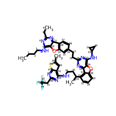 CCCCNc1nc(CC)nc2c1oc1cc(CCc3nc(NC4CC4)c4oc5cccc(C(C)CCNc6nc(CC(F)(F)F)nc7sc(C)cc67)c5c4n3)ccc12